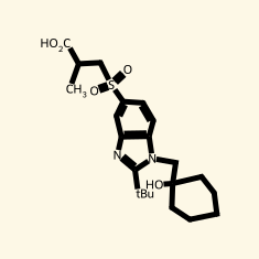 CC(CS(=O)(=O)c1ccc2c(c1)nc(C(C)(C)C)n2CC1(O)CCCCC1)C(=O)O